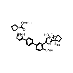 COc1ccc(-c2ccc(-c3cnc([C@@H]4CCCN4C(=O)OC(C)(C)C)[nH]3)cc2)cc1-c1c[nH]c([C@@]2(C(C)(C)C)CCCN2C(=O)O)n1